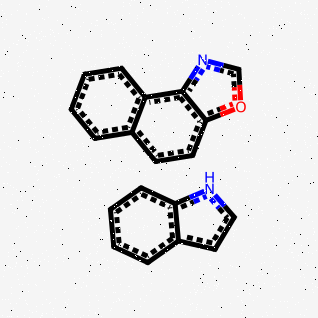 c1ccc2[nH]ccc2c1.c1ccc2c(c1)ccc1ocnc12